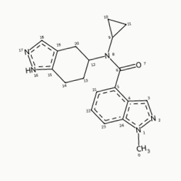 Cn1ncc2c(C(=O)N(C3CC3)C3CCc4[nH]ncc4C3)cccc21